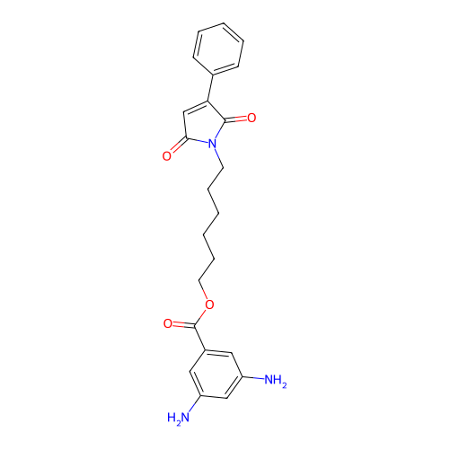 Nc1cc(N)cc(C(=O)OCCCCCCN2C(=O)C=C(c3ccccc3)C2=O)c1